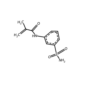 C=C(C)C(=O)Nc1cccc(S(N)(=O)=O)c1